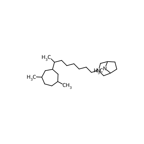 CC1CCC(C)CC(C(C)CCCCCCN2CC3CCC(C2)N3C)C1